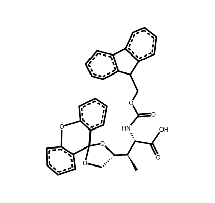 C[C@@H]([C@@H]1COC2(O1)c1ccccc1Oc1ccccc12)[C@H](NC(=O)OCC1c2ccccc2-c2ccccc21)C(=O)O